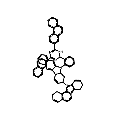 C1=CCC2C=C3C(=CC2=C1)N(c1ccccc1C1N=C(c2ccc4ccccc4c2)N=C(c2ccc4c(ccc5ccccc54)c2)N1)C1CC(n2c4c(c5ccc6c(c52)CCC=C6)CCC=C4)C=CC31